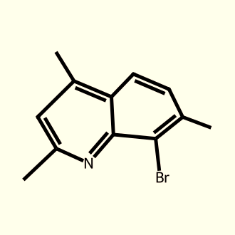 Cc1cc(C)c2ccc(C)c(Br)c2n1